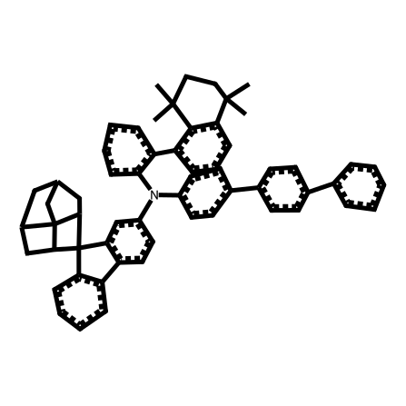 CC1(C)CCC(C)(C)c2c(-c3ccccc3N(c3ccc(-c4ccc(-c5ccccc5)cc4)cc3)c3ccc4c(c3)C3(c5ccccc5-4)C4CC5CC6CC3C64C5)cccc21